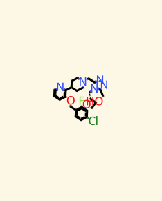 OCc1nnc(CN2CCC(c3ncccc3OCc3ccc(Cl)cc3F)CC2)n1C[C@@H]1CCO1